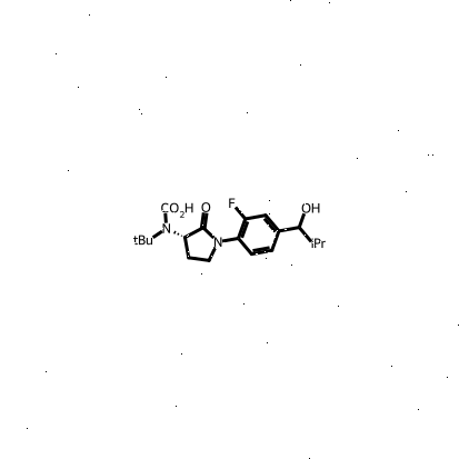 CC(C)C(O)c1ccc(N2CC[C@H](N(C(=O)O)C(C)(C)C)C2=O)c(F)c1